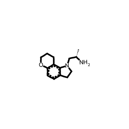 C[C@H](N)CN1CCc2ccc3c(c21)CCCO3